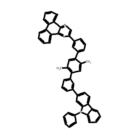 Cc1cc(-c2cccc(-c3cnc4c5ccccc5c5ccccc5c4n3)c2)c(C)cc1-c1cccc(-c2ccc3c4ccccc4n(-c4ccccc4)c3c2)c1